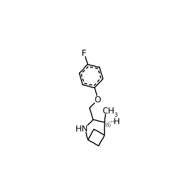 C[C@H]1C2CC(C2)NC1COc1ccc(F)cc1